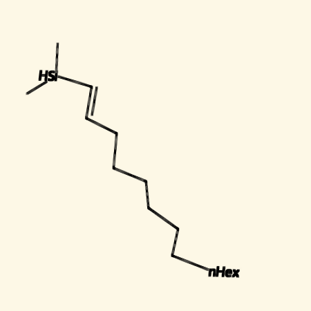 CCCCCCCCCCCCC=C[SiH](C)C